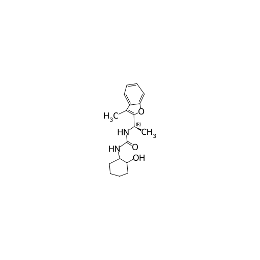 Cc1c([C@@H](C)NC(=O)NC2CCCCC2O)oc2ccccc12